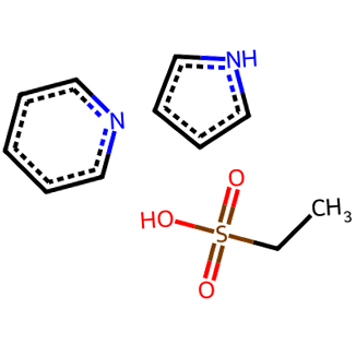 CCS(=O)(=O)O.c1cc[nH]c1.c1ccncc1